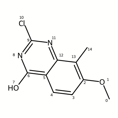 COc1ccc2c(O)nc(Cl)nc2c1C